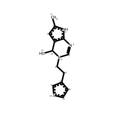 Cc1cc2c([nH]1)N=CN(CCc1ccsc1)C2O